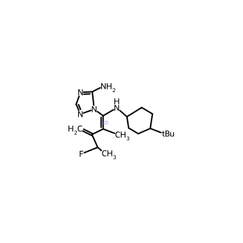 C=C(/C(C)=C(/NC1CCC(C(C)(C)C)CC1)n1ncnc1N)C(C)F